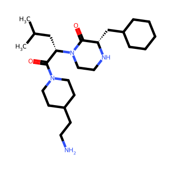 CC(C)C[C@@H](C(=O)N1CCC(CCN)CC1)N1CCN[C@@H](CC2CCCCC2)C1=O